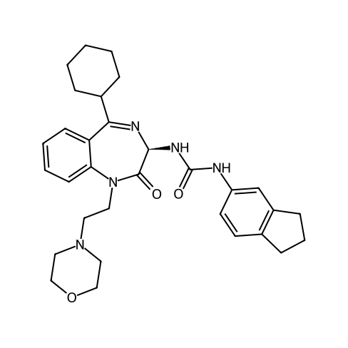 O=C(Nc1ccc2c(c1)CCC2)N[C@@H]1N=C(C2CCCCC2)c2ccccc2N(CCN2CCOCC2)C1=O